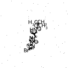 CC(C)(C)OC(=O)NCC(=CF)Cn1ncn(-c2ncc(Br)s2)c1=O